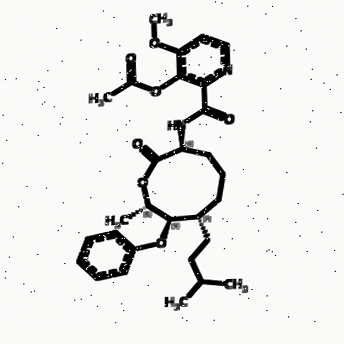 COc1ccnc(C(=O)N[C@H]2CCC[C@H](CCC(C)C)[C@@H](Oc3ccccc3)[C@H](C)OC2=O)c1OC(C)=O